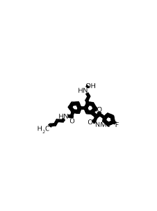 C=CCCCNC(=O)c1cccc(-c2cc3c(C(=O)NC)c(-c4ccc(F)cc4)oc3cc2CCNO)c1